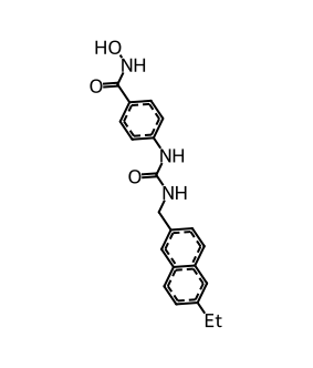 CCc1ccc2cc(CNC(=O)Nc3ccc(C(=O)NO)cc3)ccc2c1